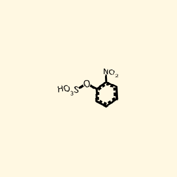 O=[N+]([O-])c1ccccc1OS(=O)(=O)O